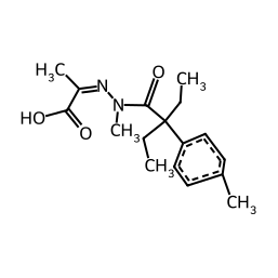 CCC(CC)(C(=O)N(C)N=C(C)C(=O)O)c1ccc(C)cc1